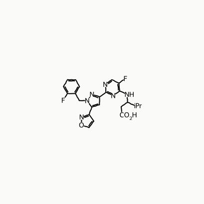 CC(C)C(CC(=O)O)Nc1nc(-c2cc(-c3ccon3)n(Cc3ccccc3F)n2)ncc1F